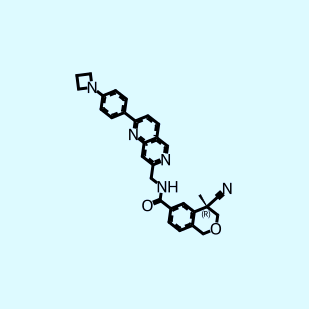 C[C@@]1(C#N)COCc2ccc(C(=O)NCc3cc4nc(-c5ccc(N6CCC6)cc5)ccc4cn3)cc21